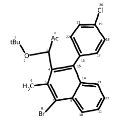 CC(=O)C(OC(C)(C)C)c1c(C)c(Br)c2ccccc2c1-c1ccc(Cl)cc1